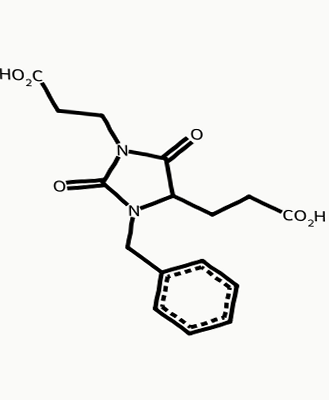 O=C(O)CCC1C(=O)N(CCC(=O)O)C(=O)N1Cc1ccccc1